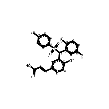 O=C(O)C=Cc1cc(C(c2cc(F)ccc2F)S(=O)(=O)c2ccc(Cl)cc2)c(Cl)cn1